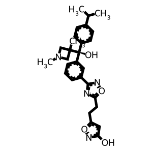 CC(C)c1ccc([C@](O)(c2cccc(-c3noc(CCc4cc(O)no4)n3)c2)C2(C)CN(C)C2)cc1